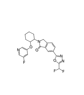 O=C1c2cc(-c3nnc(C(F)F)o3)ccc2CN1C1CCCCC1Oc1cncc(F)c1